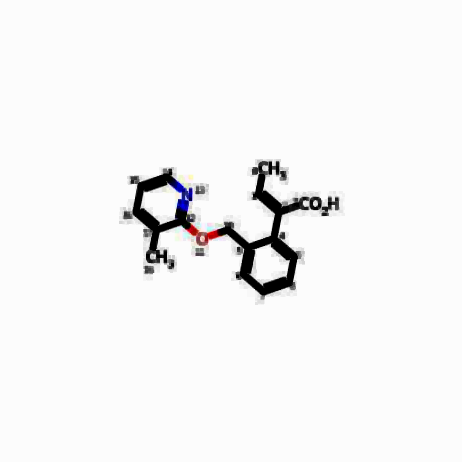 CC=C(C(=O)O)c1ccccc1COc1ncccc1C